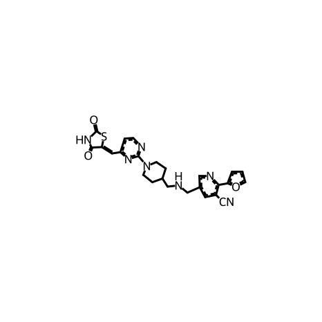 N#Cc1cc(CNCC2CCN(c3nccc(/C=C4\SC(=O)NC4=O)n3)CC2)cnc1-c1ccco1